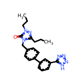 CCCc1nn(CCC)c(=O)n1Cc1ccc(-c2cccc(-c3nnn[nH]3)c2)cc1